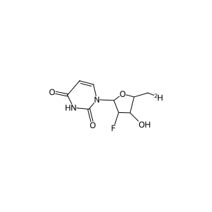 [2H]CC1OC(n2ccc(=O)[nH]c2=O)C(F)C1O